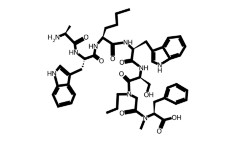 CCCC[C@H](NC(=O)[C@H](Cc1c[nH]c2ccccc12)NC(=O)[C@H](C)N)C(=O)N[C@@H](Cc1c[nH]c2ccccc12)C(=O)N[C@@H](CO)C(=O)N(CCC)CC(=O)N(C)[C@@H](Cc1ccccc1)C(=O)O